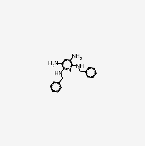 Nc1cc(N)c(NCc2ccccc2)nc1NCc1ccccc1